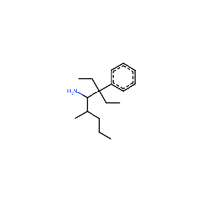 CCCC(C)C(N)C(CC)(CC)c1ccccc1